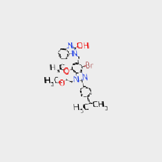 COCCn1c(-c2ccc(C(C)C)cc2)nc2c(Br)c(Cn3c(O)nc4ccccc43)cc(OC)c21